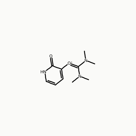 CN(C)C(=[O+]c1ccc[nH]c1=O)N(C)C